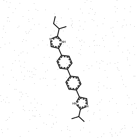 CCC(C)c1ncc(-c2ccc(-c3ccc(-c4cnc(C(C)C)[nH]4)cc3)cc2)[nH]1